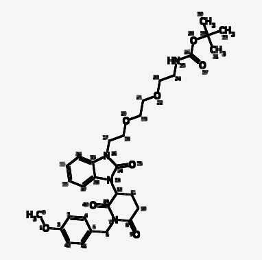 COc1ccc(CN2C(=O)CCC(n3c(=O)n(CCOCCOCCNC(=O)OC(C)(C)C)c4ccccc43)C2=O)cc1